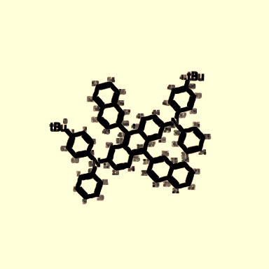 CC(C)(C)c1ccc(N(c2ccccc2)c2ccc3c(-c4ccc5ccccc5c4)c4cc(N(c5ccccc5)c5ccc(C(C)(C)C)cc5)ccc4c(-c4ccc5ccccc5c4)c3c2)cc1